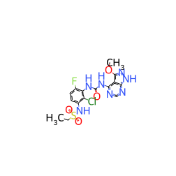 CCS(=O)(=O)Nc1ccc(F)c(NC(=O)Nc2ncnc3[nH]nc(OC)c23)c1Cl